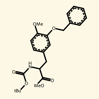 COC(=O)C(Cc1ccc(OC)c(OCc2ccccc2)c1)NC(=O)OC(C)(C)C